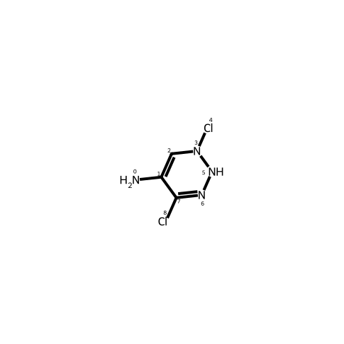 NC1=CN(Cl)NN=C1Cl